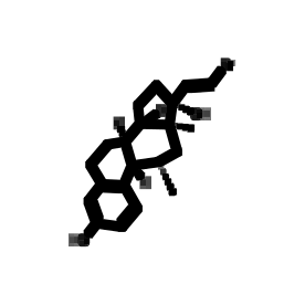 C[C@H]1C[C@@]2(C)[C@@H](CC[C@@]2(O)/C=C/Br)[C@@H]2CCc3cc(O)ccc3[C@H]21